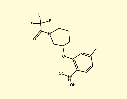 Cc1ccc([NH+]([O-])O)c(O[C@H]2CCCN(C(=O)C(F)(F)F)C2)c1